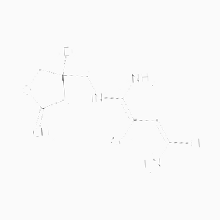 C=C1CC(CC)(CN/C(N)=C(/C=C(\N)Cl)C(C)=O)CO1